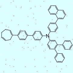 C1=CCC(c2ccc(-c3ccc(N(c4ccc(-c5cccc6ccccc56)cc4)c4ccc(-c5ccccc5)c(-c5ccccc5)c4)cc3)cc2)=CCC1